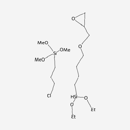 CCO[SiH](CCCCOCC1CO1)OCC.CO[Si](CCCCl)(OC)OC